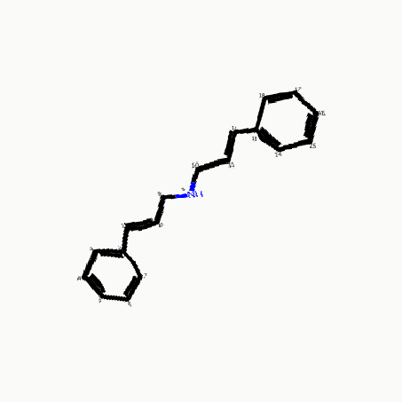 C(=C\c1ccccc1)/CNC/C=C/c1ccccc1